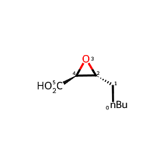 CCCCC[C@H]1O[C@@H]1C(=O)O